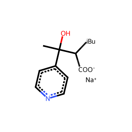 CCC(C)C(C(=O)[O-])C(C)(O)c1ccncc1.[Na+]